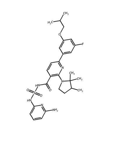 CC(C)COc1cc(F)cc(-c2ccc(C(=O)NS(=O)(=O)Nc3cccc(N)n3)c(N3CCC(C)C3(C)C)n2)c1